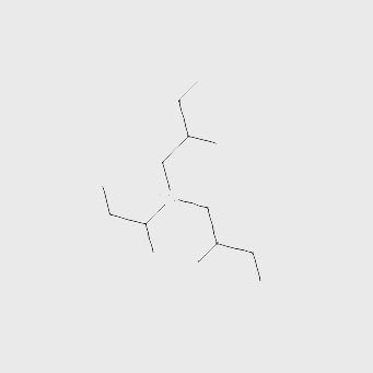 CC(C)CC(C(=O)O)N(CC(O)CO)CC(O)CO